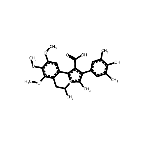 COc1cc2c(c(OC)c1OC)CC(C)n1c(C)c(-c3cc(C)c(O)c(C)c3)c(C(=O)O)c1-2